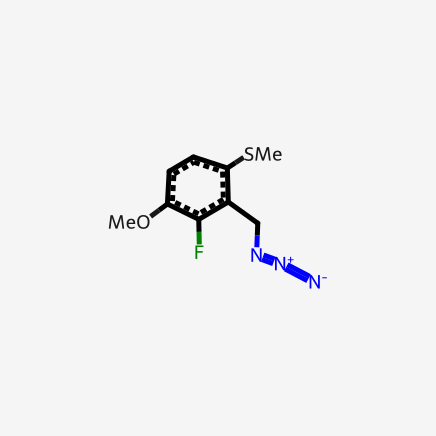 COc1ccc(SC)c(CN=[N+]=[N-])c1F